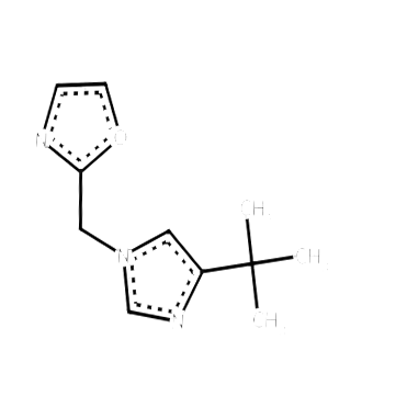 CC(C)(C)c1cn(Cc2ncco2)cn1